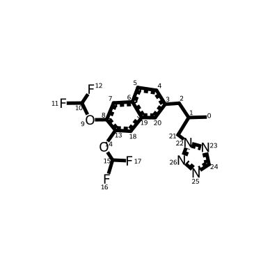 CC(Cc1ccc2cc(OC(F)F)c(OC(F)F)cc2c1)Cn1ncnn1